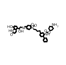 NC1CCC(OC(=O)Nc2cc(CCCCn3c(=O)oc4cc(CNC[C@H](O)c5ccc(O)c6[nH]c(=O)ccc56)ccc43)ccc2-c2ccccc2)CC1